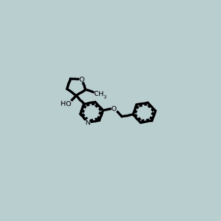 CC1OCCC1(O)c1cncc(OCc2ccccc2)c1